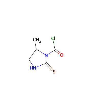 CC1CNC(=S)N1C(=O)Cl